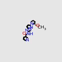 COC[C@H]1CCCN1c1ccc2nc(NC(=O)c3cccnc3)cn2n1